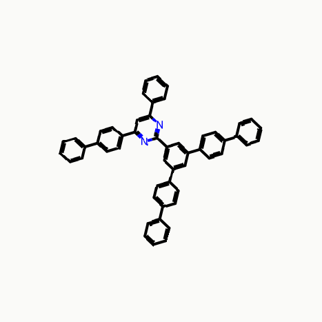 c1ccc(-c2ccc(-c3cc(-c4ccc(-c5ccccc5)cc4)cc(-c4nc(-c5ccccc5)cc(-c5ccc(-c6ccccc6)cc5)n4)c3)cc2)cc1